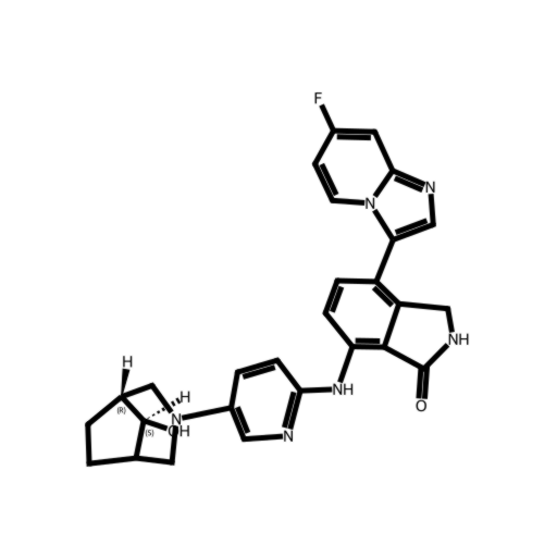 O=C1NCc2c(-c3cnc4cc(F)ccn34)ccc(Nc3ccc(N4CC5CC[C@H](C4)[C@H]5O)cn3)c21